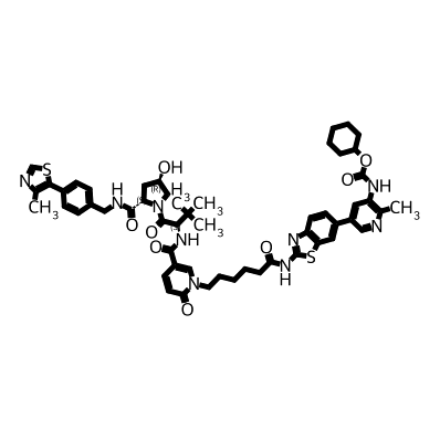 Cc1ncc(-c2ccc3nc(NC(=O)CCCCCn4cc(C(=O)N[C@H](C(=O)N5C[C@H](O)C[C@H]5C(=O)NCc5ccc(-c6scnc6C)cc5)C(C)(C)C)ccc4=O)sc3c2)cc1NC(=O)OC1CCCCC1